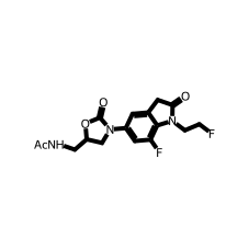 CC(=O)NCC1CN(c2cc(F)c3c(c2)CC(=O)N3CCF)C(=O)O1